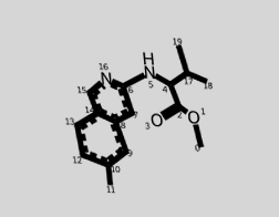 COC(=O)C(Nc1cc2cc(C)ccc2cn1)C(C)C